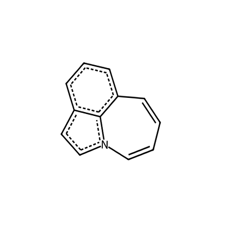 C1=Cc2cccc3ccn(c23)C=C1